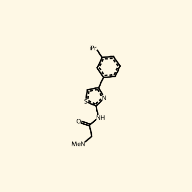 CNCC(=O)Nc1nc(-c2cccc(C(C)C)c2)cs1